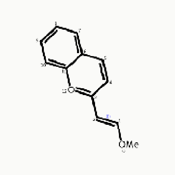 CO/C=C/c1ccc2ccccc2[o+]1